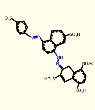 CC(=O)Nc1ccc(S(=O)(=O)O)c2c1C/C(=N\Nc1ccc(/N=N/c3ccc(S(=O)(=O)O)cc3)c3ccc(S(=O)(=O)O)cc13)C(S(=O)(=O)O)=C2